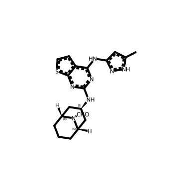 Cc1cc(Nc2nc(N[C@@H]3C[C@H]4CCC[C@@H](C3)N4C=O)nc3sccc23)n[nH]1